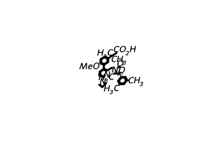 COc1ccc(C(C)(C)CC(=O)O)cc1-c1ccc(N2CCC2)nc1CN1C(=O)O[C@H](c2cc(C)cc(C)c2)[C@@H]1C